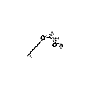 CCCCCCCCCCCCOc1cccc(OCC(COP(=O)(O)Oc2ccccc2CN2C=CSC2)OC)c1